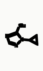 CC(C)(C)c1ncnn1C1CC1